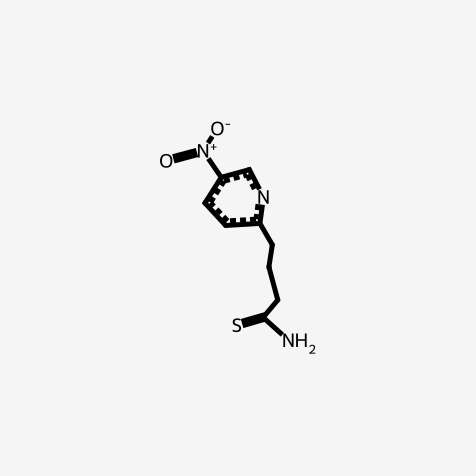 NC(=S)CCCc1ccc([N+](=O)[O-])cn1